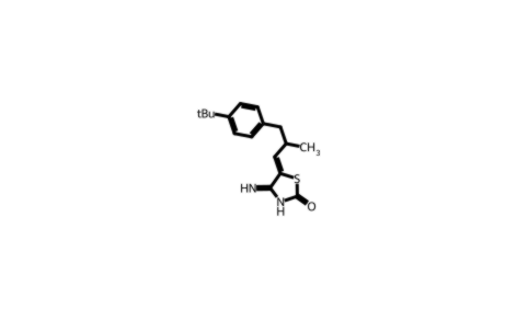 CC(C=C1SC(=O)NC1=N)Cc1ccc(C(C)(C)C)cc1